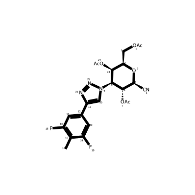 CC(=O)OC[C@H]1O[C@@H](C#N)[C@H](OC(C)=O)[C@@H](n2cc(-c3cc(F)c(C)c(F)c3)nn2)[C@H]1OC(C)=O